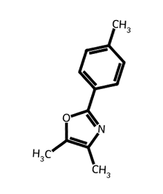 Cc1ccc(-c2nc(C)c(C)o2)cc1